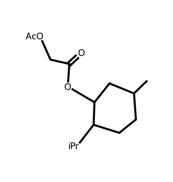 CC(=O)OCC(=O)OC1CC(C)CCC1C(C)C